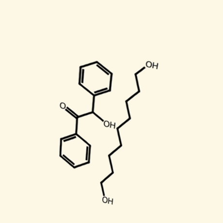 O=C(c1ccccc1)C(O)c1ccccc1.OCCCCCCCCCO